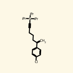 C=C(CCCC#C[Si](C(C)C)(C(C)C)C(C)C)c1ccc(Cl)cc1